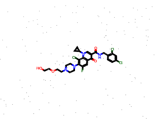 O=C(NCc1ccc(Cl)cc1Cl)c1cn(C2CC2)c2c(Cl)c(N3CCN(CCOCCO)CC3)c(F)cc2c1=O